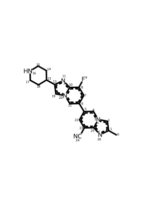 Cc1cn2cc(-c3cc(F)c4nc(C5CCNCC5)cn4c3)cc(C#N)c2n1